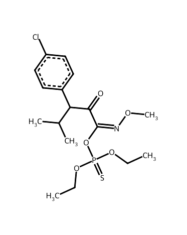 CCOP(=S)(OCC)OC(=NOC)C(=O)C(c1ccc(Cl)cc1)C(C)C